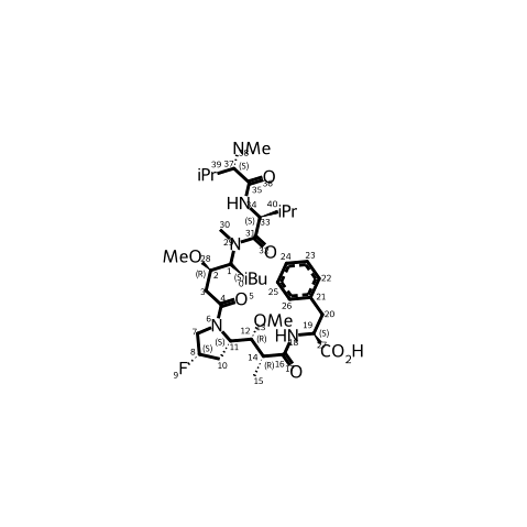 CC[C@H](C)C([C@@H](CC(=O)N1C[C@@H](F)C[C@H]1[C@H](OC)[C@@H](C)C(=O)N[C@@H](Cc1ccccc1)C(=O)O)OC)N(C)C(=O)[C@@H](NC(=O)[C@@H](NC)C(C)C)C(C)C